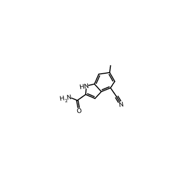 Cc1cc(C#N)c2cc(C(N)=O)[nH]c2c1